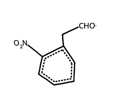 O=[C]Cc1ccccc1[N+](=O)[O-]